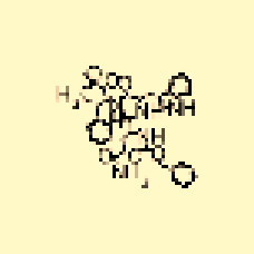 CC1(C(=O)C(Cc2ccccc2)NC(=O)C(Cc2c[nH]c3ccccc23)NC(=O)C(CCC(N)=O)NC(=O)OCc2ccccc2)CO1